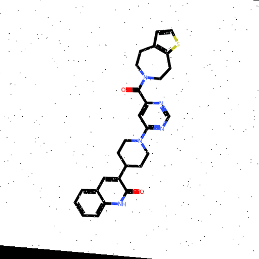 O=C(c1cc(N2CCC(c3cc4ccccc4[nH]c3=O)CC2)ncn1)N1CCc2ccsc2CC1